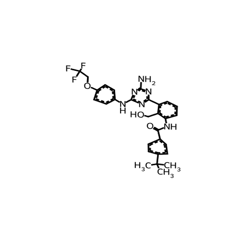 CC(C)(C)c1ccc(C(=O)Nc2cccc(-c3nc(N)nc(Nc4ccc(OCC(F)(F)F)cc4)n3)c2CO)cc1